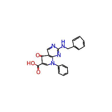 O=C(O)c1cn(-c2ccccc2)c2nc(NCc3ccccc3)ncc2c1=O